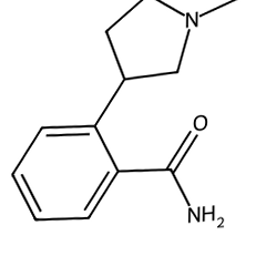 CN1CCC(c2ccccc2C(N)=O)C1